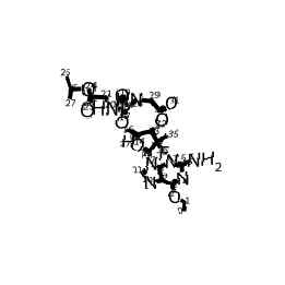 CCOC1=NC(N)=NC2C1N=CN2[C@@H]1O[C@@H]2COP(=O)(NCC(=O)OC(C)C)NCC(=O)OC2C1(C)F